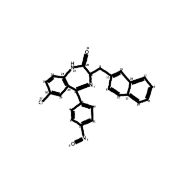 O=Nc1ccc(C2=NC(Cc3ccc4ccccc4c3)C(=O)Nc3ccc(Cl)cc32)cc1